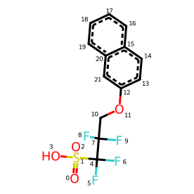 O=S(=O)(O)C(F)(F)C(F)(F)COc1ccc2ccccc2c1